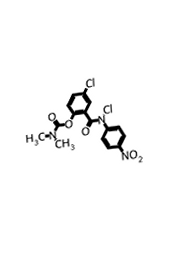 CN(C)C(=O)Oc1ccc(Cl)cc1C(=O)N(Cl)c1ccc([N+](=O)[O-])cc1